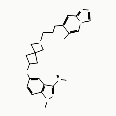 Cn1nc([N+](=O)[O-])c2cc(OC3CC4(C3)CN(CCCc3cc5nncn5cc3F)C4)ccc21